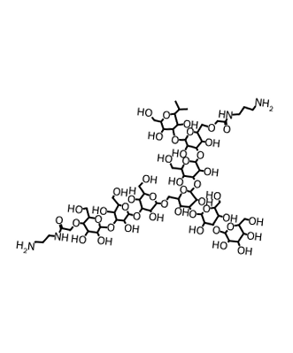 CC(C)C1OC(CO)C(O)C(OC2OC(COCC(=O)NCCCN)C(O)C(OC3OC(CO)C(O)C(OC4OC(COC5OC(CO)C(O)C(OC6OC(CO)C(O)C(OC7OC(CO)C(OCC(=O)NCCCN)C(O)C7O)C6O)C5O)C(O)C(OC5OC(CO)C(O)C(OC6OC(CO)C(O)C(O)C6O)C5O)C4O)C3O)C2O)C1O